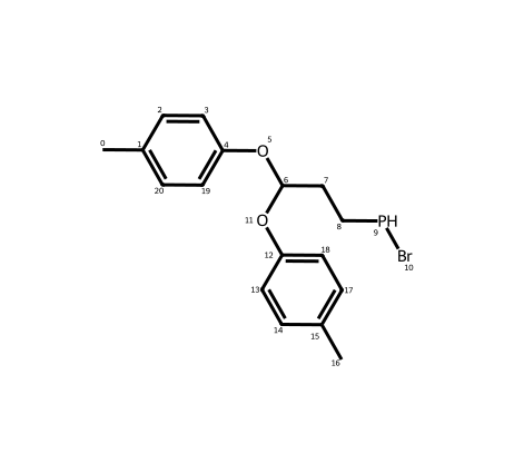 Cc1ccc(OC(CCPBr)Oc2ccc(C)cc2)cc1